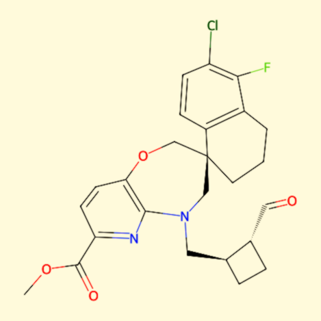 COC(=O)c1ccc2c(n1)N(C[C@@H]1CC[C@H]1C=O)C[C@@]1(CCCc3c1ccc(Cl)c3F)CO2